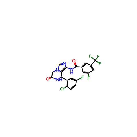 O=C1Cn2cnc(NC(=O)c3cc(F)cc(C(F)(F)F)c3)c2C(c2cc(F)ccc2Cl)N1